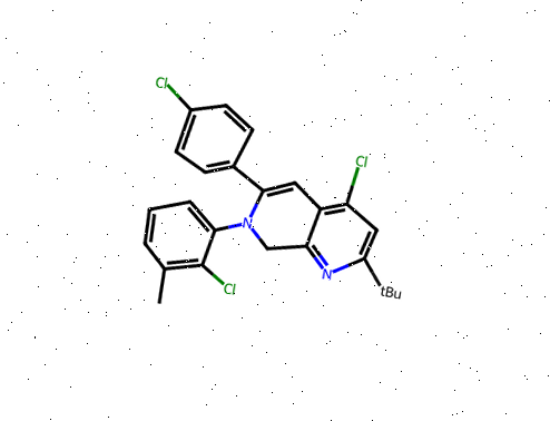 Cc1cccc(N2Cc3nc(C(C)(C)C)cc(Cl)c3C=C2c2ccc(Cl)cc2)c1Cl